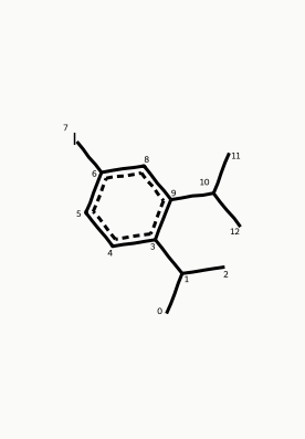 CC(C)c1ccc(I)cc1C(C)C